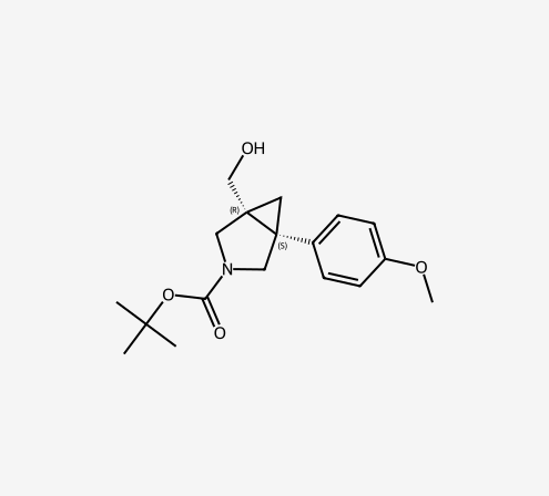 COc1ccc([C@]23CN(C(=O)OC(C)(C)C)C[C@@]2(CO)C3)cc1